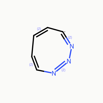 [C]1=N\N=N/C=C\C=C/1